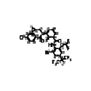 O=C(Nc1c(Br)cc(C(F)(C(F)(F)F)C(F)(F)F)cc1OC(F)F)c1cccc(N(CC2CC2)C(=O)c2ccc(Cl)cc2)c1F